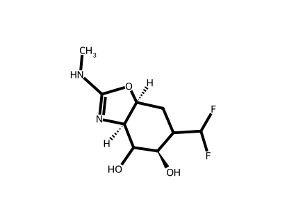 CNC1=N[C@@H]2C(O)[C@H](O)C(C(F)F)C[C@@H]2O1